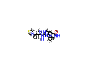 C=N/C(=C\C=C(/C)N1CCSCC1)Nc1ncc2cc3n(c2n1)C1(CCCC1)CNC3=O